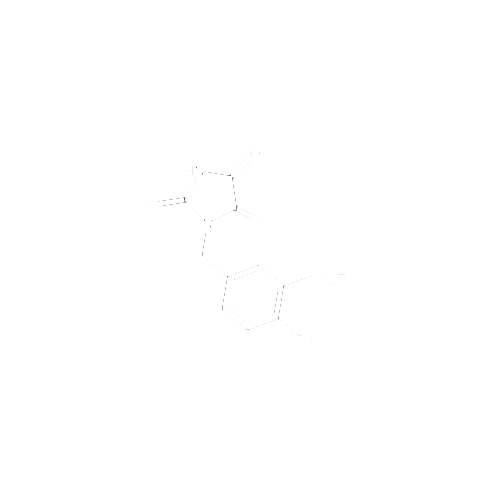 CCc1ccc(CN2C(=O)NC(=O)C2=O)cc1C(=O)O